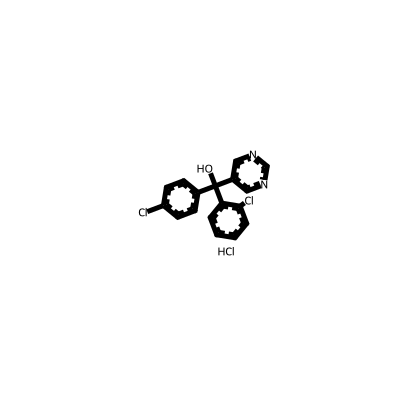 Cl.OC(c1ccc(Cl)cc1)(c1cncnc1)c1ccccc1Cl